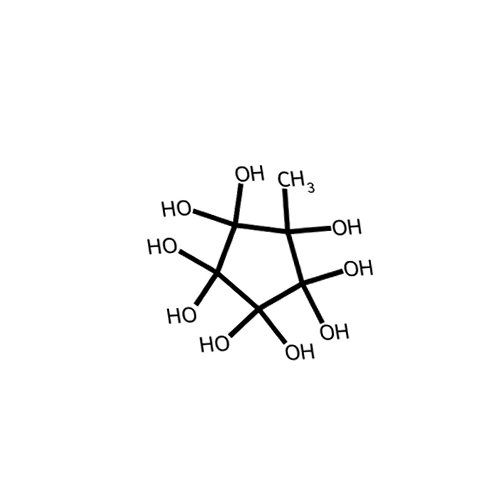 CC1(O)C(O)(O)C(O)(O)C(O)(O)C1(O)O